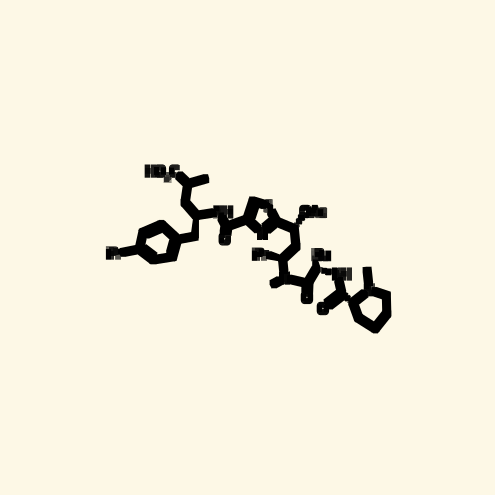 CC[C@H](C)[C@H](NC(=O)[C@H]1CCCCN1C)C(=O)N(C)[C@H](C[C@@H](OC(C)=O)c1nc(C(=O)N[C@@H](Cc2ccc(C(C)C)cc2)CC(C)C(=O)O)cs1)C(C)C